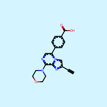 C#Cc1cn2c(-c3ccc(C(=O)O)cc3)cnc(N3CCOCC3)c2n1